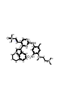 Cc1cc(N(C)CCN(C)C)c([N+](=O)[O-])cc1Nc1ncc(/C=C/P(C)(C)=O)c(-c2cn3c4c(cccc24)CCC3)n1